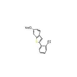 CCc1ccccc1-c1cc2ccc(OC)cc2s1